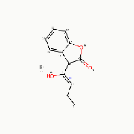 CC/C=C(\O)C1C(=O)Oc2ccccc21.[K]